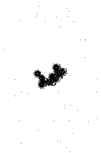 c1ccc(-c2ccc3c(c2)c2ccccc2n3-c2ccc3c(c2)-c2cccc4c(-c5nc(-c6ccccc6)c6ccccc6n5)ccc(c24)O3)cc1